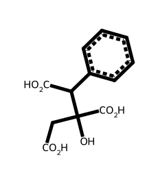 O=C(O)CC(O)(C(=O)O)C(C(=O)O)c1ccccc1